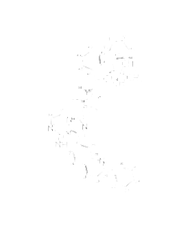 CC(C)(C)[Si](OCC12CCC(c3nc(-c4ccc5ccc(-c6ccccc6)nc5c4)c4c(N)nccn34)(CC1)CO2)(c1ccccc1)c1ccccc1